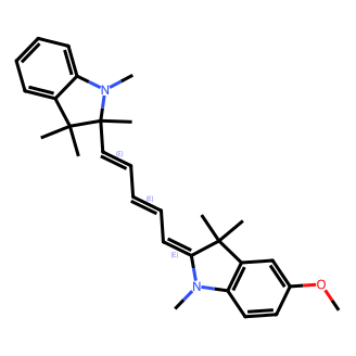 COc1ccc2c(c1)C(C)(C)\C(=C/C=C/C=C/C1(C)N(C)c3ccccc3C1(C)C)N2C